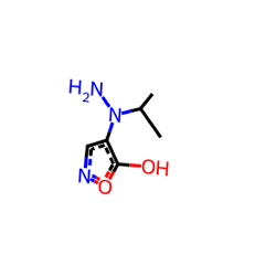 CC(C)N(N)c1cnoc1O